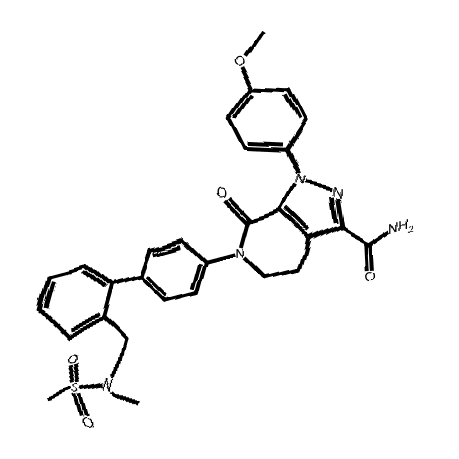 COc1ccc(-n2nc(C(N)=O)c3c2C(=O)N(c2ccc(-c4ccccc4CN(C)S(C)(=O)=O)cc2)CC3)cc1